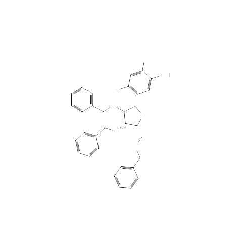 Cc1cc([C@@H]2O[C@H](COCc3ccccc3)[C@@H](OCc3ccccc3)C2OCc2ccccc2)c(F)cc1F